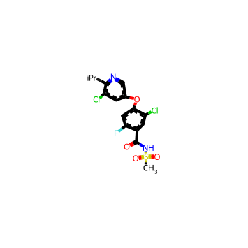 CC(C)c1ncc(Oc2cc(F)c(C(=O)NS(C)(=O)=O)cc2Cl)cc1Cl